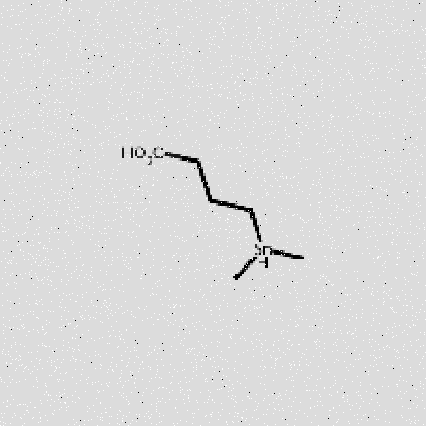 [CH3][SnH]([CH3])[CH2]CCC(=O)O